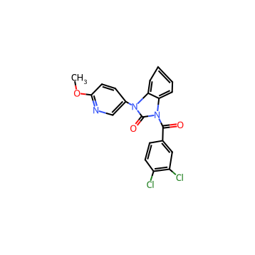 COc1ccc(-n2c(=O)n(C(=O)c3ccc(Cl)c(Cl)c3)c3ccccc32)cn1